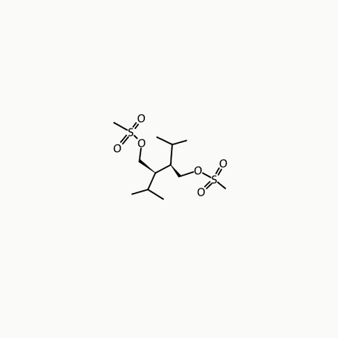 CC(C)[C@@H](COS(C)(=O)=O)[C@H](COS(C)(=O)=O)C(C)C